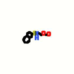 O=COCCNSc1ccc2c(c1)C=CCC=C2